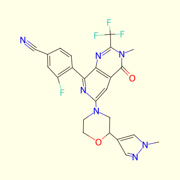 Cn1cc(C2CN(c3cc4c(=O)n(C)c(C(F)(F)F)nc4c(-c4ccc(C#N)cc4F)n3)CCO2)cn1